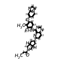 C=CC(=O)N1C[C@H]2C[C@H](c3ccc4ncnc(Nc5ccc(Oc6ccn7ncnc7c6)c(C)c5F)c4n3)C[C@H]2C1